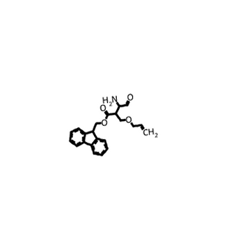 C=CCOCC(C(=O)OCC1c2ccccc2-c2ccccc21)C(N)C=O